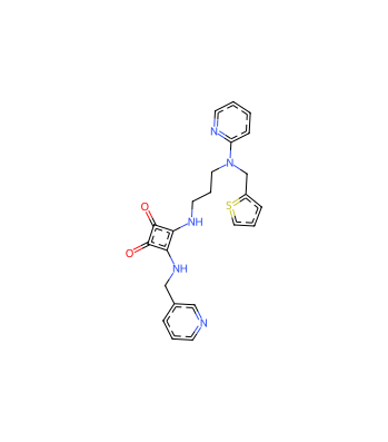 O=c1c(NCCCN(Cc2cccs2)c2ccccn2)c(NCc2cccnc2)c1=O